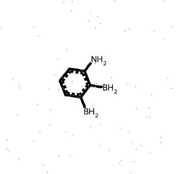 Bc1cccc(N)c1B